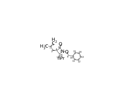 C=C(C)C[C@H]1C(=O)N(OCc2ccccc2)[C@H]1CCC